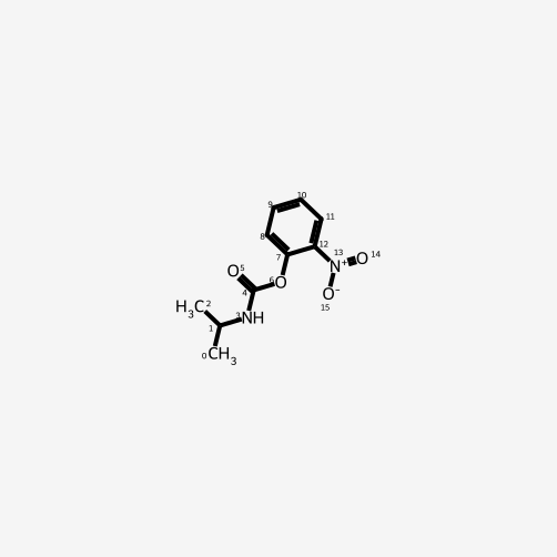 CC(C)NC(=O)Oc1ccccc1[N+](=O)[O-]